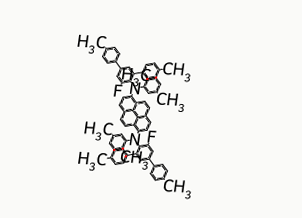 Cc1ccc(-c2cc(F)c(N(c3cc(C)ccc3C)c3ccc4ccc5c(N(c6cc(C)ccc6C)c6c(F)cc(-c7ccc(C)cc7)cc6-c6ccc(C)cc6)ccc6ccc3c4c65)c(-c3ccc(C)cc3)c2)cc1